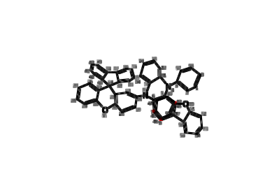 c1ccc(N(c2ccccc2)c2ccccc2N(c2ccc3c(c2)C2(c4ccccc4O3)c3ccccc3-c3ccccc32)c2ccc3c(c2)oc2ccccc23)cc1